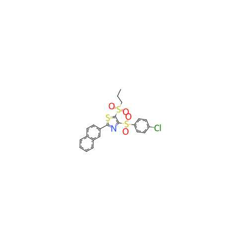 CCCS(=O)(=O)c1sc(-c2ccc3ccccc3c2)nc1S(=O)(=O)c1ccc(Cl)cc1